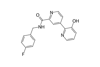 O=C(NCc1ccc(F)cc1)c1cc(-c2ncccc2O)ccn1